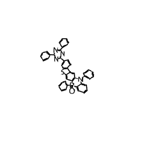 O=P1(c2ccccc2)c2ccccc2N(c2ccccc2)c2cc3c(cc21)sc1cc(-c2nc(-c4ccccc4)nc(-c4ccccc4)n2)ccc13